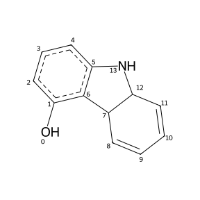 Oc1cccc2c1C1C=CC=CC1N2